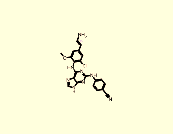 COc1cc(/C=C/N)cc(Cl)c1Nc1nc(Nc2ccc(C#N)cc2)nc2[nH]cnc12